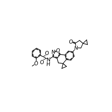 COc1ccccc1S(=O)(=O)Nc1noc2c1CC1(CC1)c1ccc(N3CC4(CC4)CC3=O)cc1-2